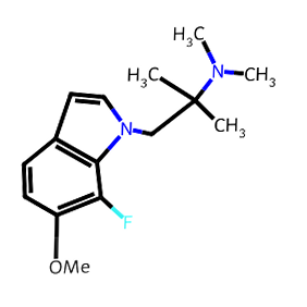 COc1ccc2ccn(CC(C)(C)N(C)C)c2c1F